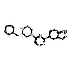 c1ccc(C[C@H]2CN(c3cnnc(-c4ccc5[nH]ncc5c4)n3)CCN2)cc1